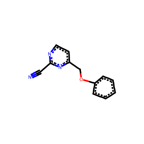 N#Cc1nccc(COc2[c]cccc2)n1